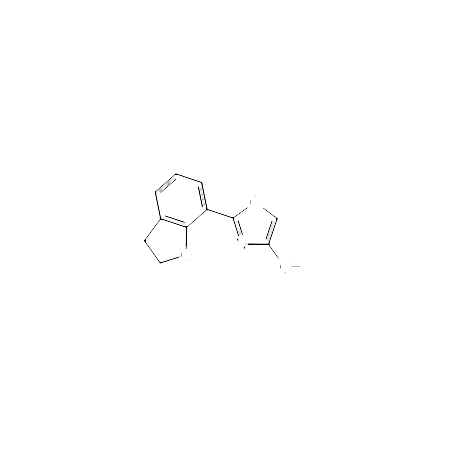 Cc1coc(-c2cccc3c2OCC3)n1